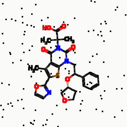 Cc1c(-c2ncco2)sc2c1c(=O)n(C(C)(C)C(=O)O)c(=O)n2CC(O[C@@H]1CCOC1)c1ccccc1